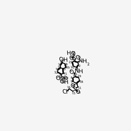 Nc1cc(NC(=O)c2ccc(CS(=O)(=O)CCCl)cc2)ccc1S(=O)(=O)O.O=S(=O)(O)c1ccc2cc(O)ccc2c1